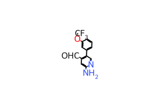 Nc1cc(C=O)c(-c2cccc(OC(F)(F)F)c2)cn1